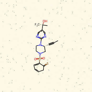 CC#C[C@@H]1CN(S(=O)(=O)C2=CC=CCC2=S)CCN1c1ncc([C@](C)(O)C(F)(F)F)cn1